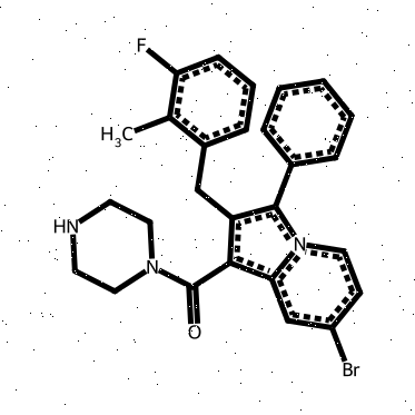 Cc1c(F)cccc1Cc1c(C(=O)N2CCNCC2)c2cc(Br)ccn2c1-c1ccccc1